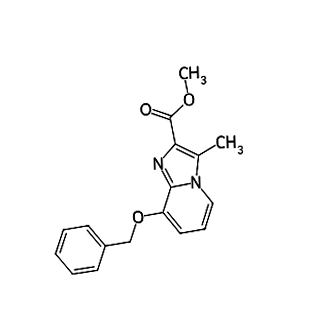 COC(=O)c1nc2c(OCc3ccccc3)cccn2c1C